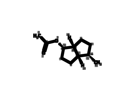 CC(=O)O[C@H]1CC[C@@H]2[C@H]1CC[C@@H]2C